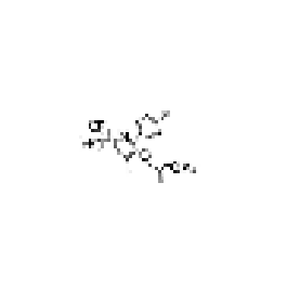 C=C(COC(C)=O)COc1c(I)cc(C(O)C(F)(F)F)nc1-c1ccc(F)cc1